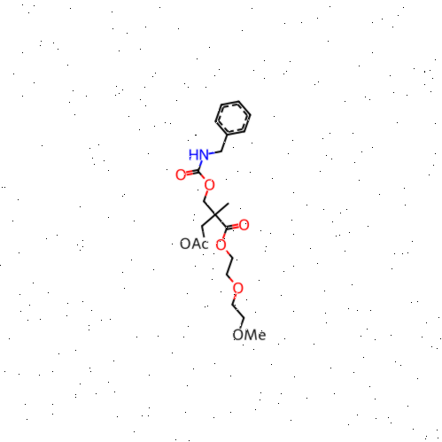 COCCOCCOC(=O)C(C)(COC(C)=O)COC(=O)NCc1ccccc1